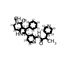 CC(C(=O)Nc1cc(-c2[nH]c3c(c2-c2ccccc2)C(=O)N(C)CC3)ccn1)c1ccncc1